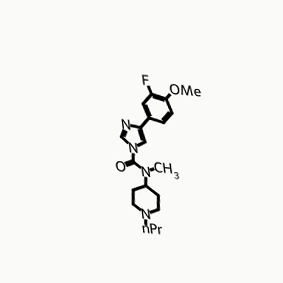 CCCN1CCC(N(C)C(=O)n2cnc(-c3ccc(OC)c(F)c3)c2)CC1